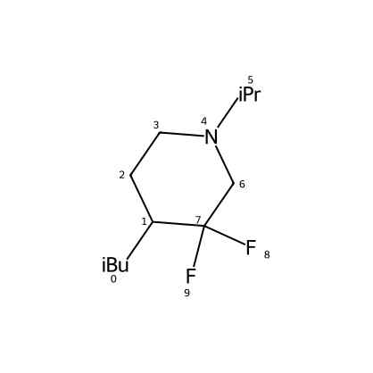 CCC(C)C1CCN(C(C)C)CC1(F)F